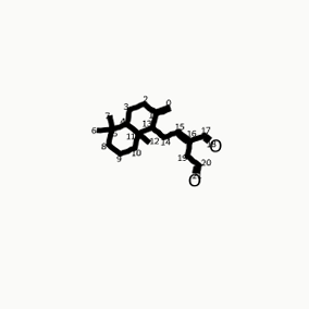 C=C1CCC2C(C)(C)CCCC2(C)C1C/C=C(/C=O)CC=O